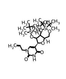 C=CCn1cc([C@@H]2O[C@@H]3CO[Si](C(C)(C)C)(C(C)(C)C)O[C@@H]3C2O[Si](C)(C)C(C)(C)C)c(=O)[nH]c1=O